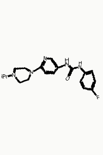 CC(C)N1CCN(c2ccc(NC(=O)Nc3ccc(F)cc3)cn2)CC1